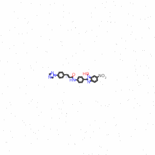 O=C(/C=C/c1ccc(-n2cncn2)cc1)Nc1ccc(-c2nc3ccc([N+](=O)[O-])cc3n2O)cc1